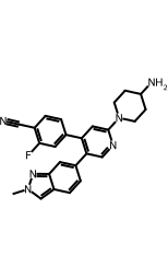 Cn1cc2ccc(-c3cnc(N4CCC(N)CC4)cc3-c3ccc(C#N)c(F)c3)cc2n1